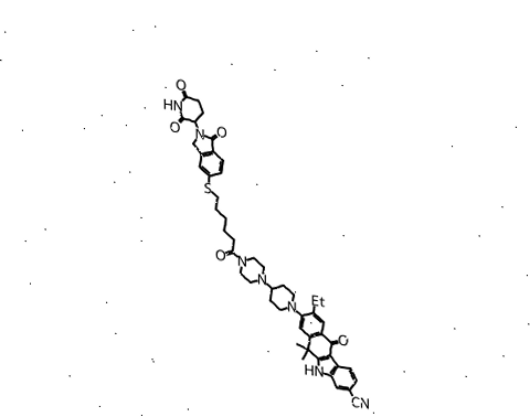 CCc1cc2c(cc1N1CCC(N3CCN(C(=O)CCCCCSc4ccc5c(c4)CN(C4CCC(=O)NC4=O)C5=O)CC3)CC1)C(C)(C)c1[nH]c3cc(C#N)ccc3c1C2=O